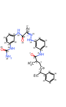 CC[CH]([Co][CH2]C(C)C(=O)Nc1cccc(N/N=C(/C(C)=O)C(=O)Nc2cccc(NC(N)=O)c2)c1)c1ccccc1